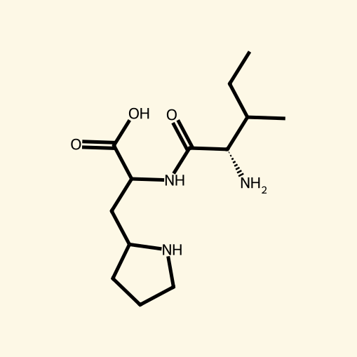 CCC(C)[C@H](N)C(=O)NC(CC1CCCN1)C(=O)O